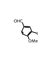 COc1ccc([C]=O)cc1I